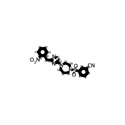 N#Cc1cccc(S(=O)(=O)N2CCCN(c3nc(Cc4ccccc4[N+](=O)[O-])ns3)CC2)c1